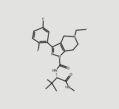 CCN1CCc2c(c(-c3cc(F)ccc3F)nn2C(=O)N[C@H](C(=O)NC)C(C)(C)C)C1